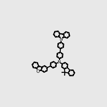 CC1(C)c2ccccc2-c2ccc(N(c3ccc(-c4ccc(-n5c6ccccc6c6ccccc65)cc4)cc3)c3ccc(-c4ccc5oc6ccccc6c5c4)cc3)cc21